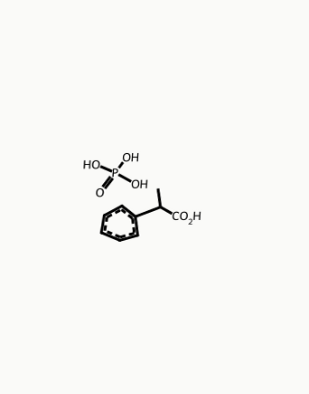 CC(C(=O)O)c1ccccc1.O=P(O)(O)O